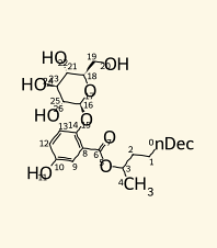 CCCCCCCCCCCCC(C)OC(=O)c1cc(O)ccc1O[C@@H]1O[C@H](CO)[C@@H](O)[C@H](O)[C@H]1O